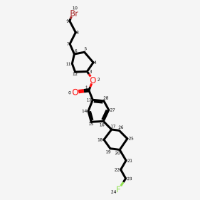 O=C(OC1CCC(CCCBr)CC1)c1ccc(C2CCC(CCCF)CC2)cc1